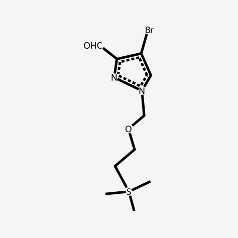 CS(C)(C)CCOCn1cc(Br)c(C=O)n1